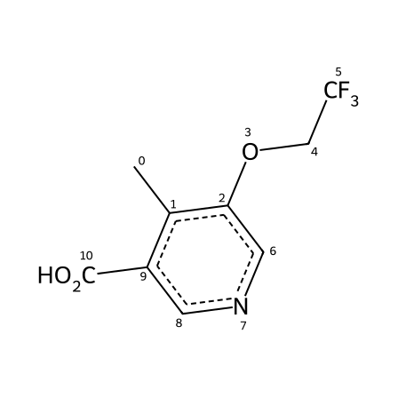 Cc1c(OCC(F)(F)F)cncc1C(=O)O